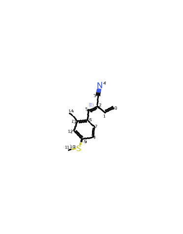 C=C/C(C#N)=C\c1ccc(SC)cc1C